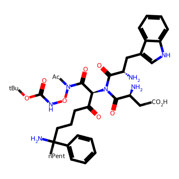 CCCCCC(N)(CCCC(=O)[C@@H](C(=O)N(ONC(=O)OC(C)(C)C)C(C)=O)N(C(=O)[C@@H](N)CC(=O)O)C(=O)[C@@H](N)Cc1c[nH]c2ccccc12)c1ccccc1